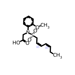 CC/C=C\C=C/CS(=O)(=O)N(CC(=O)O)c1ccccc1OC